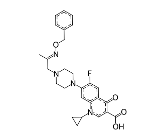 CC(CN1CCN(c2cc3c(cc2F)c(=O)c(C(=O)O)cn3C2CC2)CC1)=NOCc1ccccc1